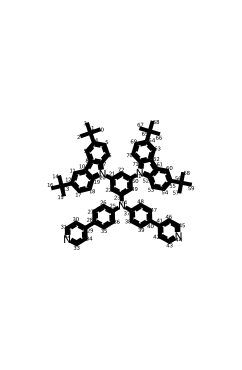 CC(C)(C)c1ccc2c(c1)c1cc(C(C)(C)C)ccc1n2-c1cc(N(c2ccc(-c3ccncc3)cc2)c2ccc(-c3ccncc3)cc2)cc(-n2c3ccc(C(C)(C)C)cc3c3cc(C(C)(C)C)ccc32)c1